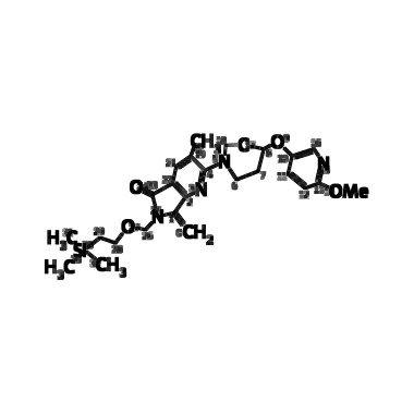 C=C1c2nc(N3CCC(Oc4ccc(OC)nc4)CC3)c(C)cc2C(=O)N1COCC[Si](C)(C)C